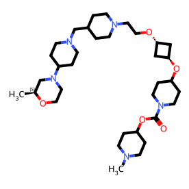 C[C@H]1CN(C2CCN(CC3CCN(CCO[C@H]4C[C@H](OC5CCN(C(=O)OC6CCN(C)CC6)CC5)C4)CC3)CC2)CCO1